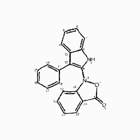 O=c1on(-c2[nH]c3ccccc3c2-c2ccccc2)c2ccccc12